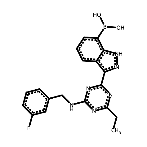 CCc1nc(NCc2cccc(F)c2)nc(-c2n[nH]c3c(B(O)O)cccc23)n1